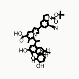 Cc1c(C(=O)O)cc2cc(-c3cc(C#N)c4c(c3)CCN4C(=O)OC(C)(C)C)cn2c1C(C)c1cc(O)c2c3c1C[C@@H]1[C@@H]4C=C[C@H](O)[C@H](O2)[C@]34CCN1C